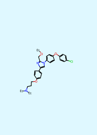 CCOCc1nc(-c2ccc(OCCCN(CC)CC)cc2)cn1-c1ccc(Oc2ccc(Cl)cc2)cc1